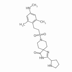 CNc1cc(C)c(CCS(=O)(=O)N2CCC3(CC2)N=C(C2CCCN2)NC3=O)c(C)c1